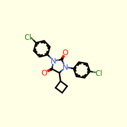 O=C1C(C2CCC2)N(c2ccc(Cl)cc2)C(=O)N1c1ccc(Cl)cc1